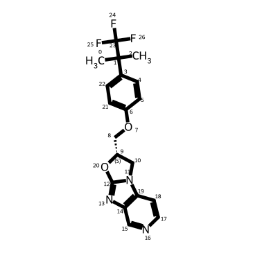 CC(C)(c1ccc(OC[C@@H]2Cn3c(nc4cnccc43)O2)cc1)C(F)(F)F